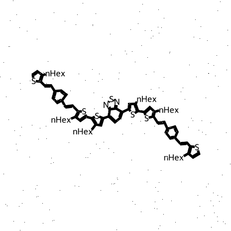 CCCCCCc1ccsc1/C=C/c1ccc(/C=C/c2sc(-c3sc(-c4ccc(-c5cc(CCCCCC)c(-c6cc(CCCCCC)c(/C=C/c7ccc(/C=C/c8sccc8CCCCCC)cc7)s6)s5)c5nsnc45)cc3CCCCCC)cc2CCCCCC)cc1